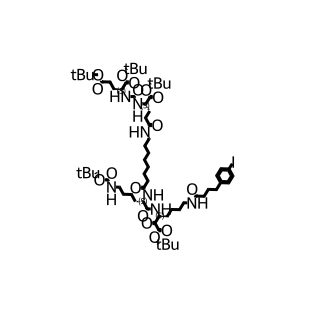 CC(C)(C)OC(=O)CC[C@H](NC(=O)N[C@@H](CCC(=O)NCCCCCCCC(=O)N[C@@H](CCCCNC(=O)OC(C)(C)C)C(=O)N[C@@H](CCCCNC(=O)CCCc1ccc(I)cc1)C(=O)C(=O)OC(C)(C)C)C(=O)OC(C)(C)C)C(=O)OC(C)(C)C